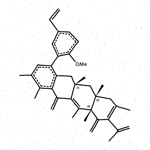 C=Cc1ccc(OC)c(-c2cc(C)c(C)c3c2C[C@]2(C)C[C@]4(C)CC(C)=C(C(=C)C)C(=C)[C@]4(C)C(C)=C2C3=C)c1